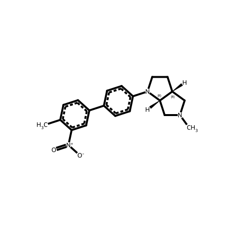 Cc1ccc(-c2ccc(N3CC[C@@H]4CN(C)C[C@@H]43)cc2)cc1[N+](=O)[O-]